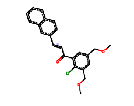 COCc1cc(COC)c(Cl)c(C(=O)/C=C/c2ccc3ccccc3c2)c1